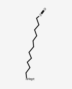 CCCCCCCCCCCCCCCCC[CH2][Ti]=[O]